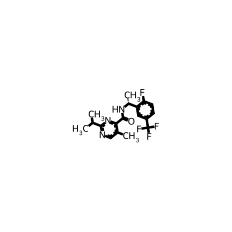 Cc1cnc(C(C)C)nc1C(=O)N[C@H](C)c1cc(C(F)(F)F)ccc1F